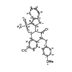 COc1ccc(CN2C(=O)C(c3nc4ccccc4n3S(=O)(=O)C(F)(F)F)[C]c3cc(Cl)ccc32)cc1